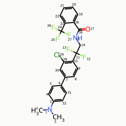 CN(C)c1ccc(-c2ccc(C(F)(F)CNC(=O)c3ccccc3C(F)(F)F)c(Cl)c2)cc1